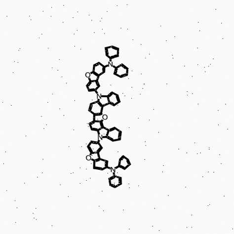 c1ccc(N(c2ccccc2)c2ccc3oc4ccc(-n5c6ccccc6c6c7oc8c(ccc9c8c8ccccc8n9-c8ccc9oc%10ccc(N(c%11ccccc%11)c%11ccccc%11)cc%10c9c8)c7ccc65)cc4c3c2)cc1